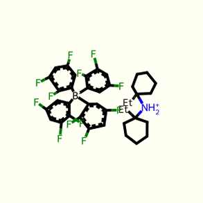 CCC1([NH2+]C2(CC)CCCCC2)CCCCC1.Fc1cc(F)c(F)c([B-](c2cc(F)cc(F)c2F)(c2cc(F)cc(F)c2F)c2cc(F)cc(F)c2F)c1